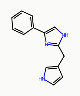 c1ccc(-c2c[nH]c(Cc3cc[nH]c3)n2)cc1